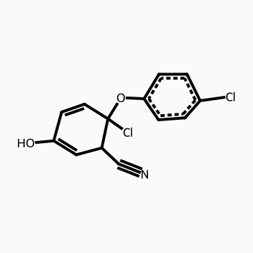 N#CC1C=C(O)C=CC1(Cl)Oc1ccc(Cl)cc1